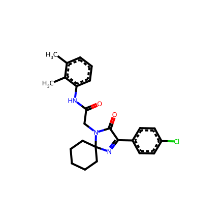 Cc1cccc(NC(=O)CN2C(=O)C(c3ccc(Cl)cc3)=NC23CCCCC3)c1C